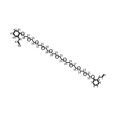 C=CCc1ccccc1OCCOCCOCCOCCOCCOCCOCCOCCOCCOCCOc1ccccc1CC=C